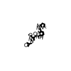 COc1nn(CC2COC2)cc1C(=O)Nc1cccc(-c2nnc3n2[C@@H](C)CC3)n1